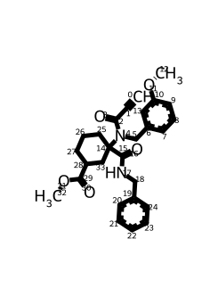 C#CC(=O)N(Cc1cccc(OC)c1)C1(C(=O)NCc2ccccc2)CCCC(C(=O)OC)C1